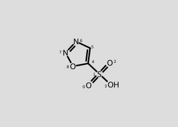 O=S(=O)(O)c1cnno1